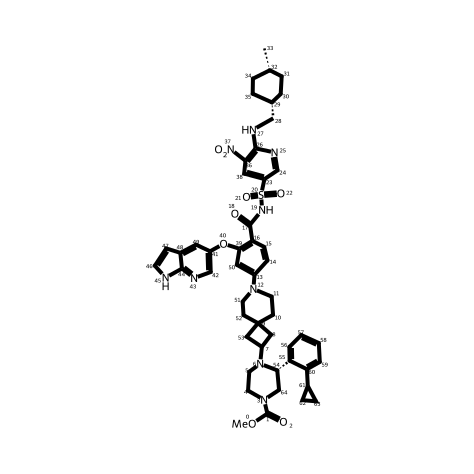 COC(=O)N1CCN(C2CC3(CCN(c4ccc(C(=O)NS(=O)(=O)c5cnc(NC[C@H]6CC[C@@H](C)CC6)c([N+](=O)[O-])c5)c(Oc5cnc6[nH]ccc6c5)c4)CC3)C2)[C@H](c2ccccc2C2CC2)C1